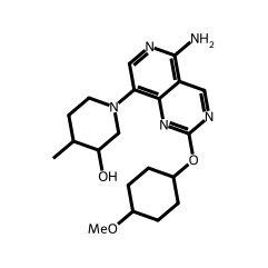 COC1CCC(Oc2ncc3c(N)ncc(N4CCC(C)C(O)C4)c3n2)CC1